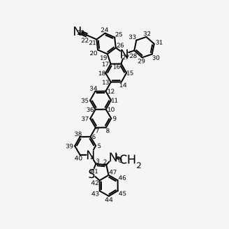 C=Nc1c(N2C=C(c3ccc4cc(-c5ccc6c(c5)c5cc(C#N)ccc5n6C5=CC=CCC5)ccc4c3)C=CC2)sc2ccccc12